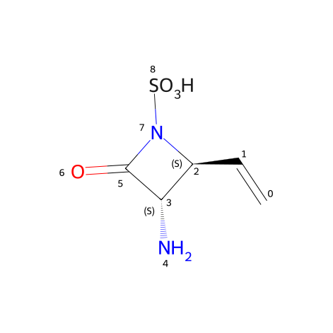 C=C[C@H]1[C@H](N)C(=O)N1S(=O)(=O)O